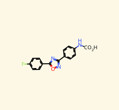 O=C(O)Nc1ccc(-c2noc(-c3ccc(F)cc3)n2)cc1